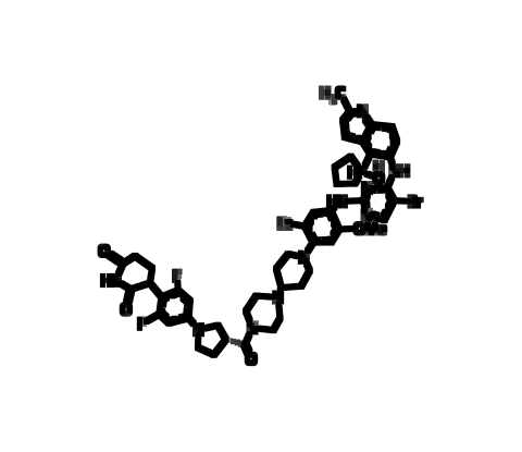 CCc1cc(Nc2ncc(Br)c(Nc3ccc4nc(C)ccc4c3[PH]3(O)CCCC3)n2)c(OC)cc1N1CCC(N2CCN(C(=O)[C@@H]3CCN(c4cc(F)c(C5CCC(=O)NC5=O)c(F)c4)C3)CC2)CC1